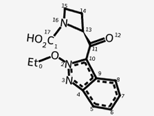 CCOn1nc2ccccc2c1C(=O)[C@@H]1CCN1C(=O)O